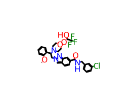 COc1ccccc1C(Cn1cc2ccc(C(=O)NCc3cccc(Cl)c3)cc2n1)N1CCOCC1.O=C(O)C(F)(F)F